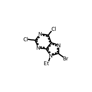 CCn1c(Br)nc2c(Cl)nc(Cl)nc21